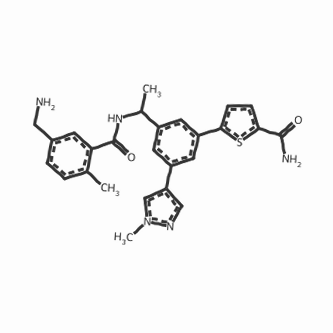 Cc1ccc(CN)cc1C(=O)NC(C)c1cc(-c2cnn(C)c2)cc(-c2ccc(C(N)=O)s2)c1